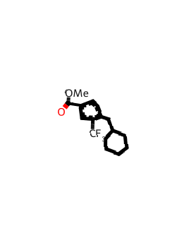 COC(=O)c1ccc(CC2CCCCC2)c(C(F)(F)F)c1